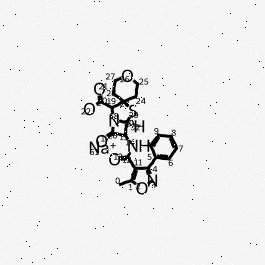 Cc1onc(-c2ccccc2)c1C(=O)NC1C(=O)N2C(C(=O)[O-])C3(CCOCC3)S[C@@H]12.[Na+]